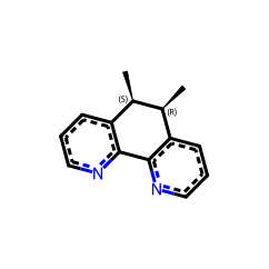 C[C@@H]1c2cccnc2-c2ncccc2[C@@H]1C